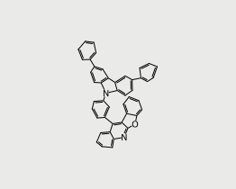 c1ccc(-c2ccc3c(c2)c2cc(-c4ccccc4)ccc2n3-c2cccc(-c3c4ccccc4nc4oc5ccccc5c34)c2)cc1